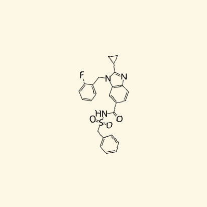 O=C(NS(=O)(=O)Cc1ccccc1)c1ccc2nc(C3CC3)n(Cc3ccccc3F)c2c1